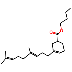 CCCCOC(=O)C1CCC=C(CC/C=C(\C)CCC=C(C)C)C1